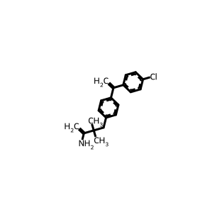 C=C(c1ccc(Cl)cc1)c1ccc(CC(C)(C)C(=C)N)cc1